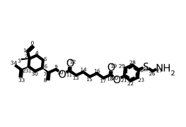 C=C[C@]1(C)CC[C@@H](C(=C)COC(=O)CCCCCC(=O)Oc2ccc(SCN)cc2)C[C@H]1C(=C)C